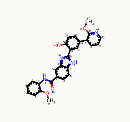 COc1ccccc1NC(=O)c1ccc2[nH]c(-c3cc(-c4cccnc4OC)ccc3O)nc2c1